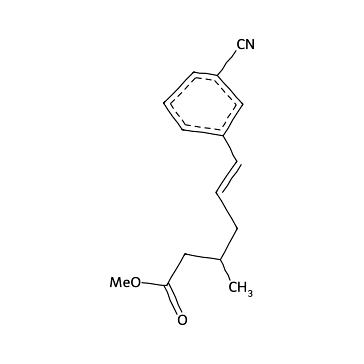 COC(=O)CC(C)CC=Cc1cccc(C#N)c1